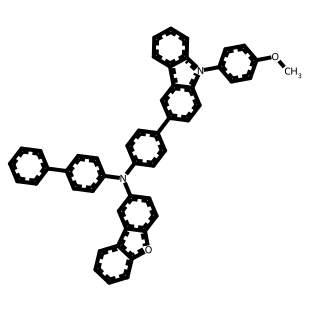 COc1ccc(-n2c3ccccc3c3cc(-c4ccc(N(c5ccc(-c6ccccc6)cc5)c5ccc6oc7ccccc7c6c5)cc4)ccc32)cc1